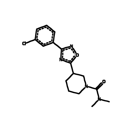 CN(C)C(=O)N1CCCC(c2nc(-c3cccc(Cl)c3)no2)C1